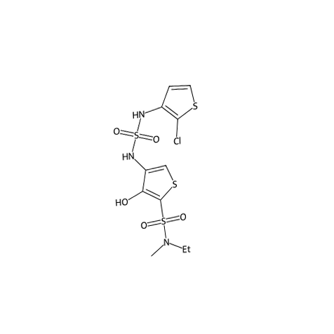 CCN(C)S(=O)(=O)c1scc(NS(=O)(=O)Nc2ccsc2Cl)c1O